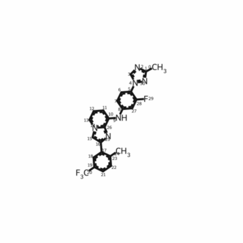 Cc1ncn(-c2ccc(Nc3cccn4cc(-c5cc(C(F)(F)F)ccc5C)nc34)cc2F)n1